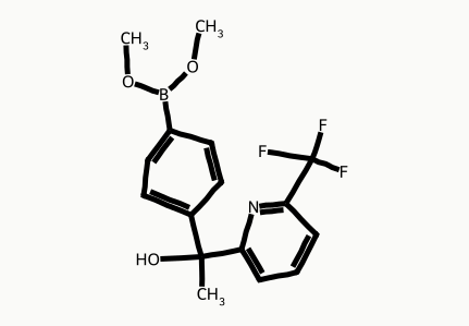 COB(OC)c1ccc(C(C)(O)c2cccc(C(F)(F)F)n2)cc1